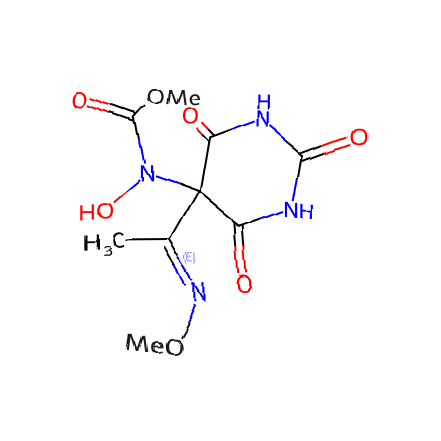 CO/N=C(\C)C1(N(O)C(=O)OC)C(=O)NC(=O)NC1=O